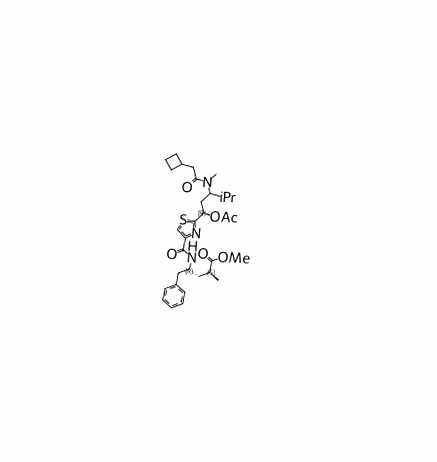 COC(=O)[C@@H](C)C[C@H](Cc1ccccc1)NC(=O)c1csc([C@@H](CC(C(C)C)N(C)C(=O)CC2CCC2)OC(C)=O)n1